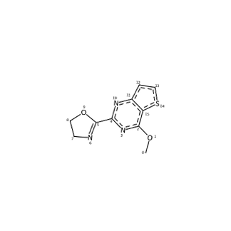 COc1nc(C2=NCCO2)nc2ccsc12